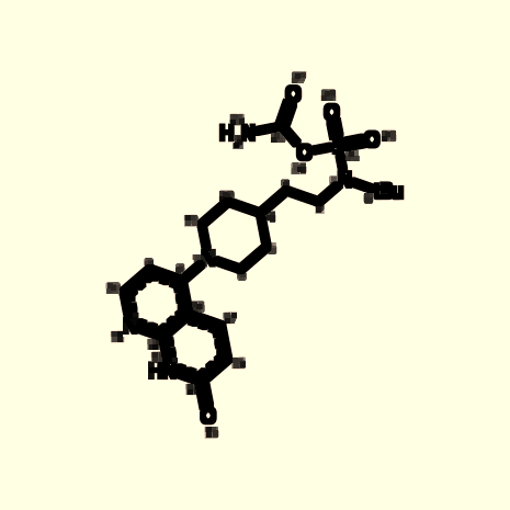 CC(C)(C)N(CCC1CCN(c2ccnc3[nH]c(=O)ccc23)CC1)S(=O)(=O)OC(N)=O